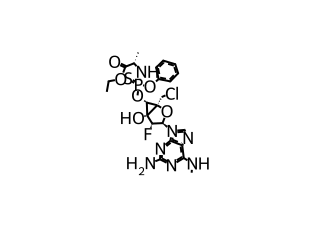 CCOC(=O)[C@H](C)NP(=S)(Oc1ccccc1)O[C@H]1[C@]2(O)[C@@H](F)[C@H](n3cnc4c(NC)nc(N)nc43)O[C@]12CCl